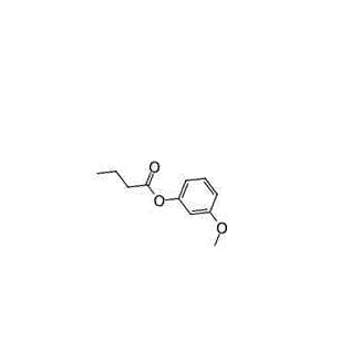 CCCC(=O)Oc1cccc(OC)c1